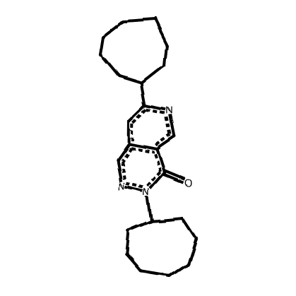 O=c1c2cnc(C3CCCCCCC3)cc2cnn1C1CCCCCCC1